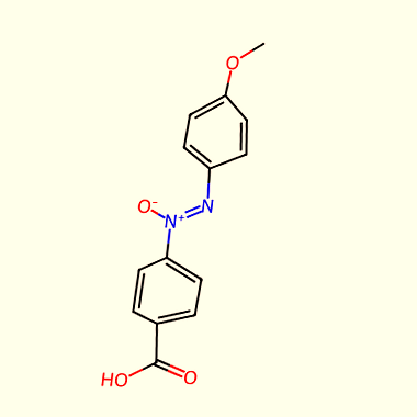 COc1ccc(/N=[N+](\[O-])c2ccc(C(=O)O)cc2)cc1